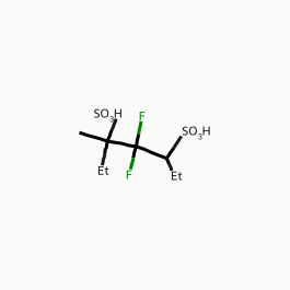 CCC(C(F)(F)C(C)(CC)S(=O)(=O)O)S(=O)(=O)O